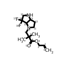 C=CCOC(=O)C(C)(C)CN1CCC2NCC(F)(F)C21